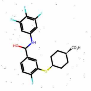 O=C(O)[C@H]1CC[C@@H](Sc2cc(C(O)Nc3cc(F)c(F)c(F)c3)ccc2F)CC1